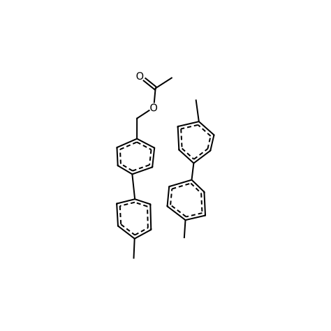 CC(=O)OCc1ccc(-c2ccc(C)cc2)cc1.Cc1ccc(-c2ccc(C)cc2)cc1